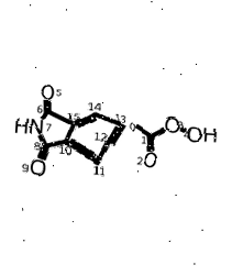 CC(=O)OO.O=C1NC(=O)c2ccccc21